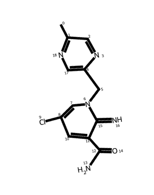 Cc1cnc(Cn2cc(Cl)cc(C(N)=O)c2=N)cn1